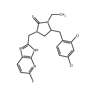 CCN1C(=S)N(Cc2nc3ccc(F)nc3[nH]2)CC1Cc1ccc(Cl)cc1Cl